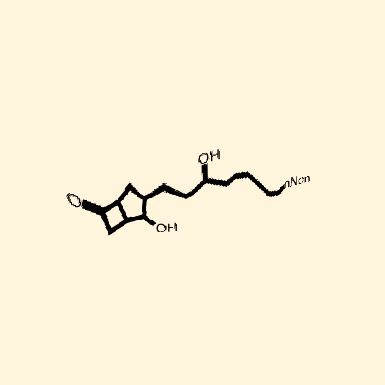 CCCCCCCCCCCCC(O)CCC1CC2C(=O)CC2C1O